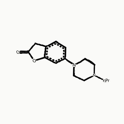 CCCN1CCN(c2ccc3c(c2)OC(=O)C3)CC1